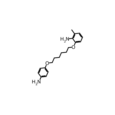 Cc1cccc(OCCCCCCOc2ccc(N)cc2)c1N